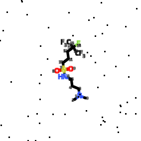 CN(C)CCCNS(=O)(=O)CCCC(F)(C(F)(F)F)C(F)(F)F